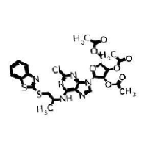 CC(=O)OC[C@H]1O[C@@H](n2cnc3c(NC(C)CSc4nc5ccccc5s4)nc(Cl)nc32)[C@H](OC(C)=O)[C@@H]1OC(C)=O